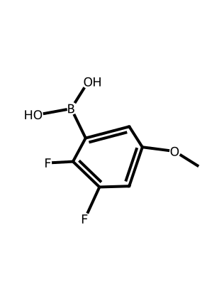 COc1cc(F)c(F)c(B(O)O)c1